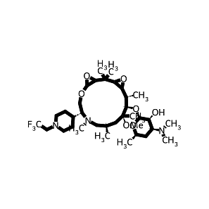 CO[C@]1(C)C[C@@H](C)CN(C)[C@H](C2CCN(CC(F)(F)F)CC2)COC2OC2C(C)(C)C2OC2[C@H](C)[C@H]1O[C@@H]1O[C@H](C)C[C@H](N(C)C)[C@H]1O